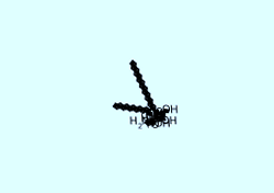 CCCCCCCCCCCCCCCCN(C(=O)CCCCCCCCCCC)[C@@H]1O[C@H](CO)[C@@H](O)[C@H](O)[C@H]1NC(=O)[C@H](C)N